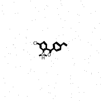 C=Cc1ccc(C(=O)c2ccc(Cl)cc2[SiH](C)C)cc1